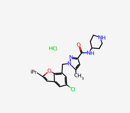 Cc1cc(C(=O)NC2CCNCC2)nn1Cc1cc(Cl)cc2cc(C(C)C)oc12.Cl